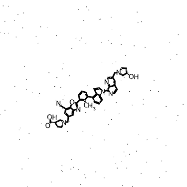 Cc1c(-c2nc3cc(CN4CC[C@@H](C(=O)O)C4)cc(C#N)c3o2)cccc1-c1cccc2c1ccn2-c1nccc2cc(CN3CC[C@@H](O)C3)cnc12